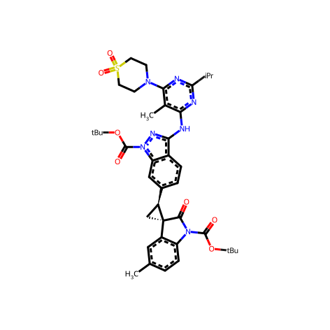 Cc1ccc2c(c1)[C@]1(C[C@H]1c1ccc3c(Nc4nc(C(C)C)nc(N5CCS(=O)(=O)CC5)c4C)nn(C(=O)OC(C)(C)C)c3c1)C(=O)N2C(=O)OC(C)(C)C